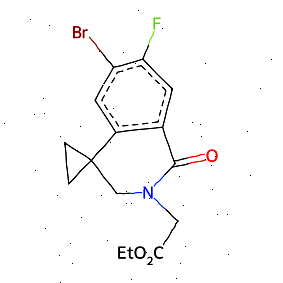 CCOC(=O)CN1CC2(CC2)c2cc(Br)c(F)cc2C1=O